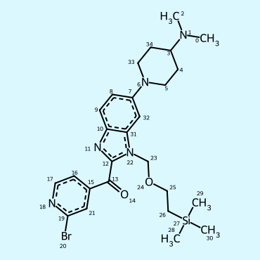 CN(C)C1CCN(c2ccc3nc(C(=O)c4ccnc(Br)c4)n(COCC[Si](C)(C)C)c3c2)CC1